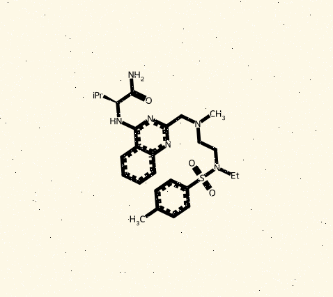 CCN(CCN(C)Cc1nc(N[C@H](C(N)=O)C(C)C)c2ccccc2n1)S(=O)(=O)c1ccc(C)cc1